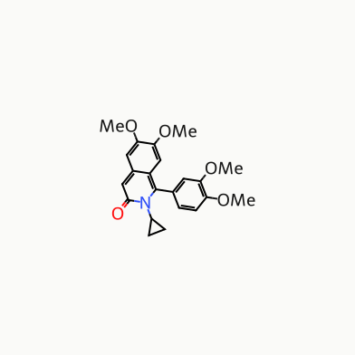 COc1ccc(-c2c3cc(OC)c(OC)cc3cc(=O)n2C2CC2)cc1OC